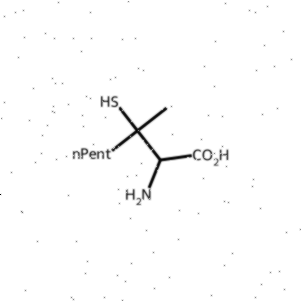 CCCCCC(C)(S)C(N)C(=O)O